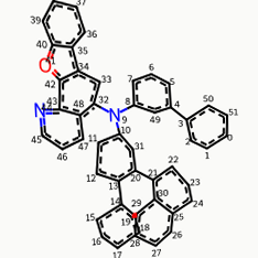 c1ccc(-c2cccc(N(c3ccc(-c4ccccc4)c(-c4cccc5ccccc45)c3)c3cc4c5ccccc5oc4c4ncccc34)c2)cc1